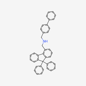 c1ccc(-c2ccc(CNCc3cccc4c3-c3ccccc3C4(c3ccccc3)c3ccccc3)cc2)cc1